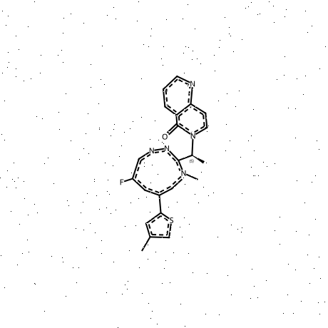 Cc1csc(-c2cc(F)cnnc([C@H](C)n3ccc4ncccc4c3=O)n(C)c2)c1